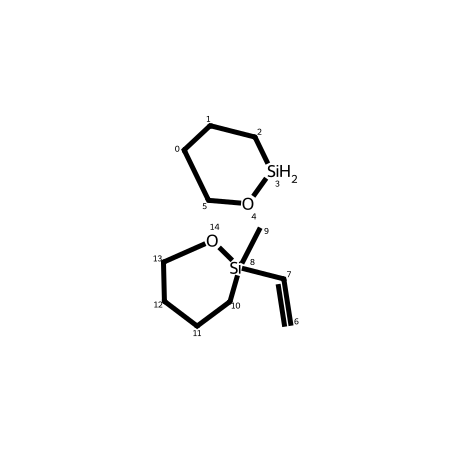 C1CC[SiH2]OC1.C=C[Si]1(C)CCCCO1